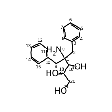 NC(Cc1ccccc1)(Cc1ccccc1)C(O)C(O)CO